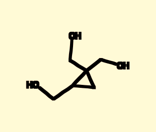 OCC1CC1(CO)CO